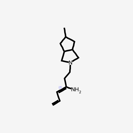 C=C/C=C(\N)CCN1CC2CC(C)CC2C1